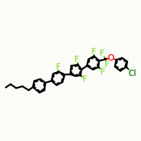 CCCCCc1ccc(-c2ccc(-c3cc(F)c(-c4cc(F)c(C(F)(F)Oc5ccc(Cl)cc5)c(F)c4)c(F)c3)c(F)c2)cc1